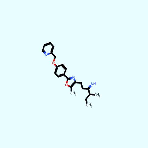 CCC(C)C(=N)CCc1nc(-c2ccc(OCc3ccccn3)cc2)oc1C